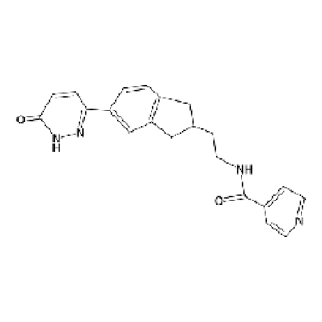 O=C(NCCC1Cc2ccc(-c3ccc(=O)[nH]n3)cc2C1)c1ccncc1